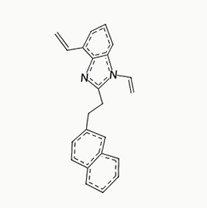 C=Cc1cccc2c1nc(CCc1ccc3ccccc3c1)n2C=C